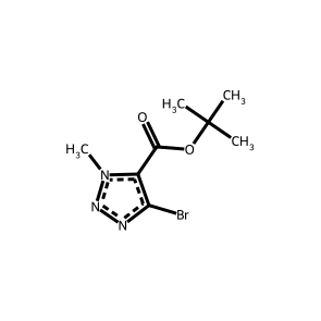 Cn1nnc(Br)c1C(=O)OC(C)(C)C